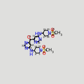 CS(=O)(=O)N1CCC(Nc2cc(C(=O)c3cc(NC4CCN(S(C)(=O)=O)CC4)ncn3)ncn2)CC1